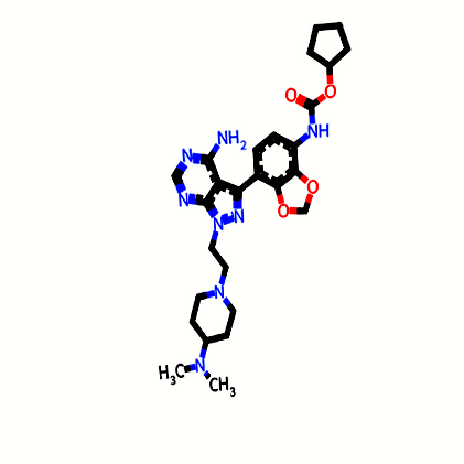 CN(C)C1CCN(CCn2nc(-c3ccc(NC(=O)OC4CCCC4)c4c3OCO4)c3c(N)ncnc32)CC1